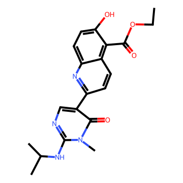 CCOC(=O)c1c(O)ccc2nc(-c3cnc(NC(C)C)n(C)c3=O)ccc12